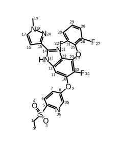 CCS(=O)(=O)c1ccc(Oc2cc3[nH]c(-c4ccn(C)n4)nc3c(Oc3c(F)cccc3F)c2F)cn1